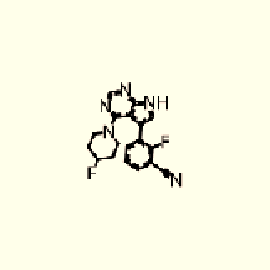 N#Cc1cccc(-c2c[nH]c3ncnc(N4CCC(F)CC4)c23)c1F